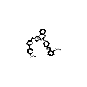 COc1ccc(-c2ncc(CN3CC[C@@H](C(=O)N4CCC(O)(Cc5c[c]ccc5OC)CC4)[C@H](c4ccccc4)C3)s2)cn1